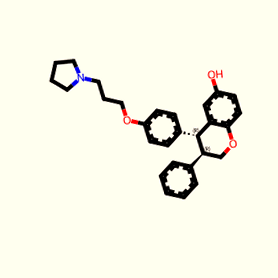 Oc1ccc2c(c1)[C@@H](c1ccc(OCCCN3CCCC3)cc1)[C@H](c1ccccc1)CO2